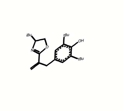 C=C(Cc1cc(C(C)(C)C)c(O)c(C(C)(C)C)c1)C1=NC(C(C)CC)CO1